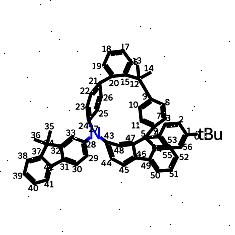 CC(C)(C)c1ccc(C23c4ccc(cc4)C(C)(C)c4ccccc4-c4ccc(cc4)N(c4ccc5c(c4)C(C)(C)c4ccccc4-5)c4ccc(c2c4)-c2ccccc23)cc1